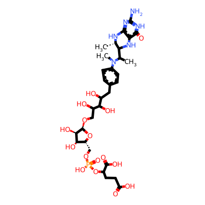 CC(C1Nc2c(nc(N)[nH]c2=O)N[C@H]1C)N(C)c1ccc(CC(O)C(O)C(O)CO[C@H]2O[C@H](COP(=O)(O)OC(CCC(=O)O)C(=O)O)[C@@H](O)[C@H]2O)cc1